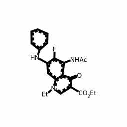 CCOC(=O)c1cn(CC)c2cc(Nc3ccccc3)c(F)c(NC(C)=O)c2c1=O